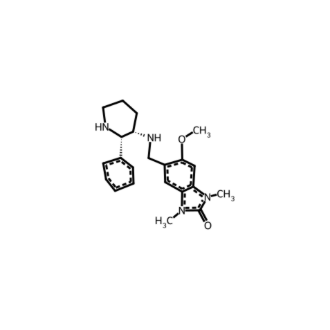 COc1cc2c(cc1CN[C@H]1CCCN[C@H]1c1ccccc1)n(C)c(=O)n2C